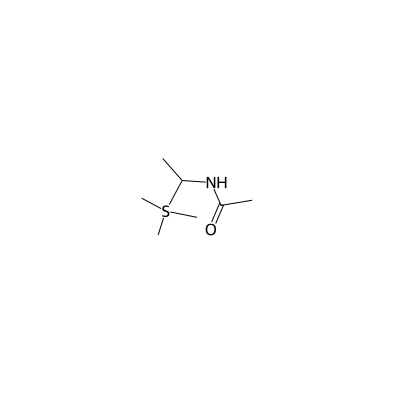 CC(=O)NC(C)S(C)(C)C